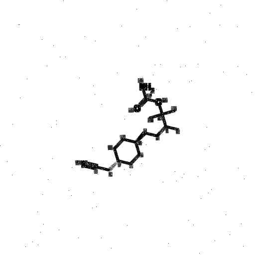 CC(CC[C@H]1CC[C@H](CC#N)CC1)C(C)(C)OC(N)=O